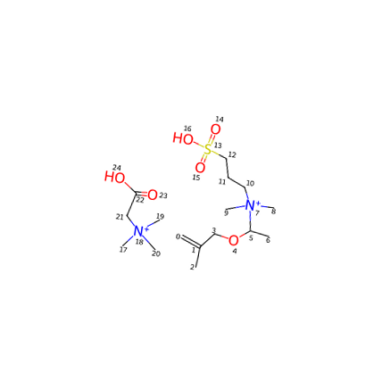 C=C(C)COC(C)[N+](C)(C)CCCS(=O)(=O)O.C[N+](C)(C)CC(=O)O